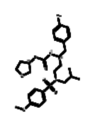 COc1ccc(S(=O)(=O)N(CC[C@H](Cc2ccc(O)cc2)NC(=O)O[C@@H]2CCOC2)CC(C)C)cc1